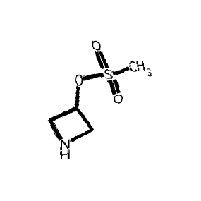 CS(=O)(=O)OC1CNC1